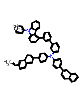 C=CC1=CC2CC=C(c3ccc(N(c4ccc(-c5ccc6ccccc6c5)cc4)c4cccc(-c5cccc(-c6cccc7c6c6ccccc6n7C(/C=C\C)=C/CC)c5)c4)cc3)C=C2C=C1